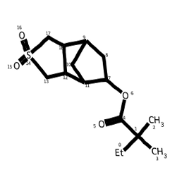 CCC(C)(C)C(=O)OC1CC2CC1C1CS(=O)(=O)CC21